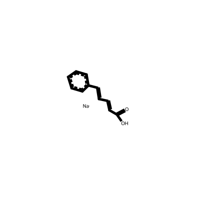 O=C(O)C=CC=Cc1ccccc1.[Na]